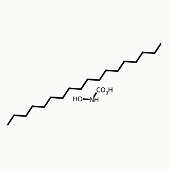 CCCCCCCCCCCCCCCCCC.O=C(O)NO